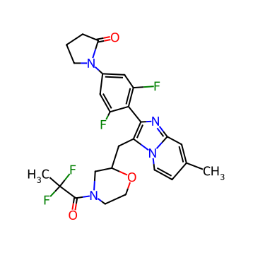 Cc1ccn2c(CC3CN(C(=O)C(C)(F)F)CCO3)c(-c3c(F)cc(N4CCCC4=O)cc3F)nc2c1